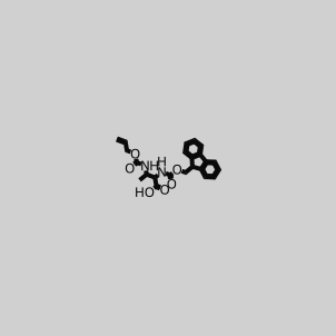 C=CCOC(=O)NC(C)C(NC(=O)OCC1c2ccccc2-c2ccccc21)C(=O)O